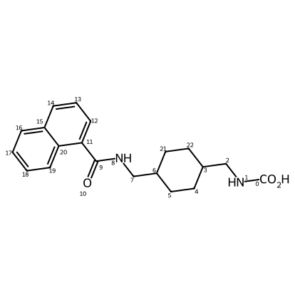 O=C(O)NCC1CCC(CNC(=O)c2cccc3ccccc23)CC1